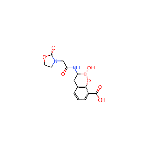 O=C(CN1CCOC1=O)NC1Cc2cccc(C(=O)O)c2OB1O